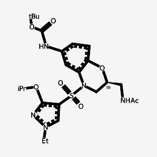 CCn1cc(S(=O)(=O)N2C[C@H](CNC(C)=O)Oc3ccc(NC(=O)OC(C)(C)C)cc32)c(OC(C)C)n1